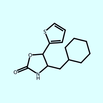 O=C1NC(CC2CCCCC2)C(c2cccs2)O1